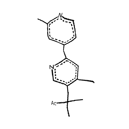 CC(=O)C(C)(C)c1cnc(-c2ccnc(C)c2)cc1C